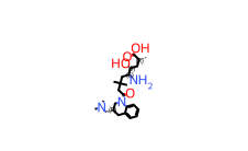 C[C@H](C[C@H](O)[C@@H](N)CC(C)(C)CC(=O)N1C[C@@H](CN(C)C)Cc2ccccc21)C(=O)O